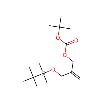 C=C(COC(=O)OC(C)(C)C)CO[Si](C)(C)C(C)(C)C